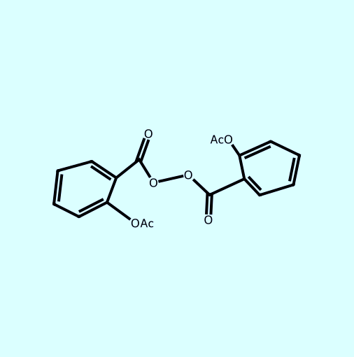 CC(=O)Oc1ccccc1C(=O)OOC(=O)c1ccccc1OC(C)=O